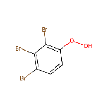 OOc1ccc(Br)c(Br)c1Br